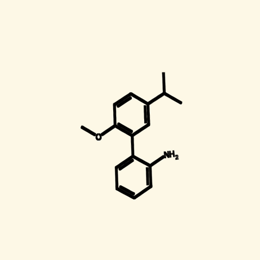 COc1ccc(C(C)C)cc1-c1ccccc1N